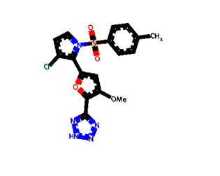 COc1cc(-c2c(Cl)ccn2S(=O)(=O)c2ccc(C)cc2)oc1-c1nn[nH]n1